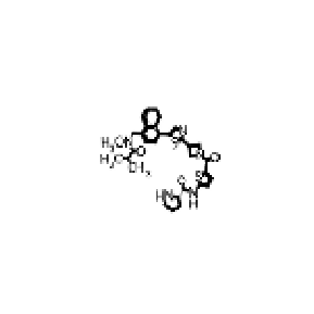 CC(C)C(=O)N(C)Cc1ccc(-c2cnc(C3CN(C(=O)c4ccc(NC(=O)[C@@H]5CCCN5)s4)C3)s2)c2ccccc12